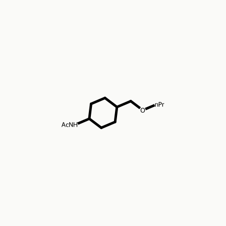 CCCOCC1CCC(NC(C)=O)CC1